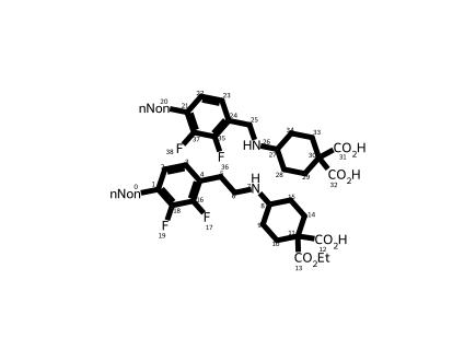 CCCCCCCCCc1ccc(CCNC2CCC(C(=O)O)(C(=O)OCC)CC2)c(F)c1F.CCCCCCCCCc1ccc(CNC2CCC(C(=O)O)(C(=O)O)CC2)c(F)c1F